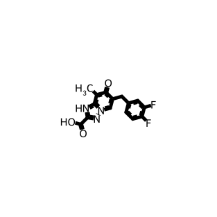 Cc1c(=O)c(Cc2ccc(F)c(F)c2)cn2nc(C(=O)O)[nH]c12